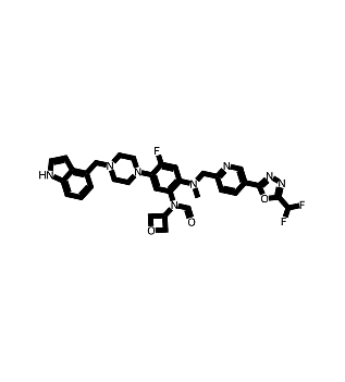 CN(Cc1ccc(-c2nnc(C(F)F)o2)cn1)c1cc(F)c(N2CCN(Cc3cccc4[nH]ccc34)CC2)cc1N(C=O)C1COC1